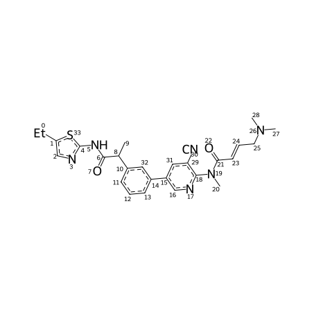 CCc1cnc(NC(=O)C(C)c2cccc(-c3cnc(N(C)C(=O)/C=C/CN(C)C)c(C#N)c3)c2)s1